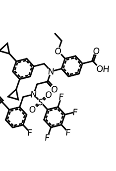 CCOc1cc(C(=O)O)ccc1N(Cc1cc(C2CC2)cc(C2CC2)c1)C(=O)CN(Cc1cc(F)ccc1C#N)S(=O)(=O)c1cc(F)c(F)c(F)c1F